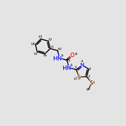 CSc1cnc(NC(=O)NCc2ccccc2)s1